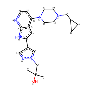 CC(C)(O)Cn1cc(-c2cc3c(N4CCN(CC5CC5)CC4)ccnc3[nH]2)cn1